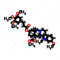 COC(=O)[C@@H]1C[C@H](OC(=O)/C=C/c2cc(OC)c(OC)c(OC)c2)C[C@@H]2CN3CCc4c(n(C)c5cc(OC)ccc45)[C@H]3C[C@@H]21